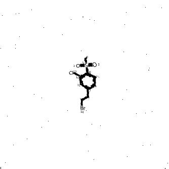 CS(=O)(=O)c1ccc(CCBr)cc1Cl